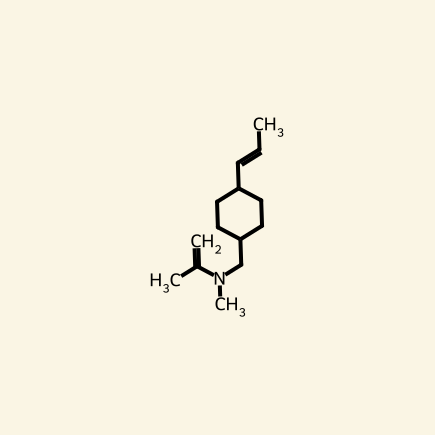 C=C(C)N(C)CC1CCC(/C=C/C)CC1